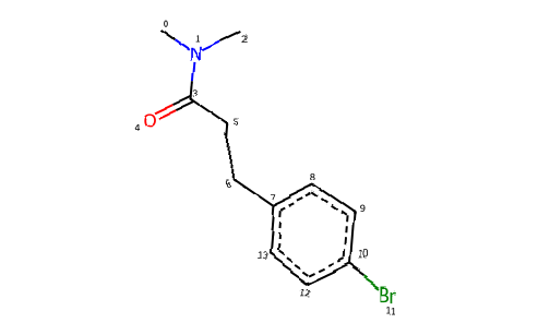 CN(C)C(=O)CCc1ccc(Br)cc1